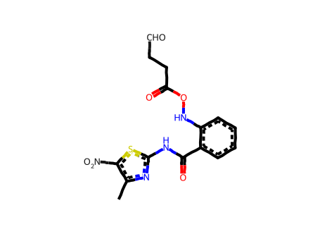 Cc1nc(NC(=O)c2ccccc2NOC(=O)CCC=O)sc1[N+](=O)[O-]